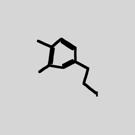 Cc1ccc(CCI)cc1C